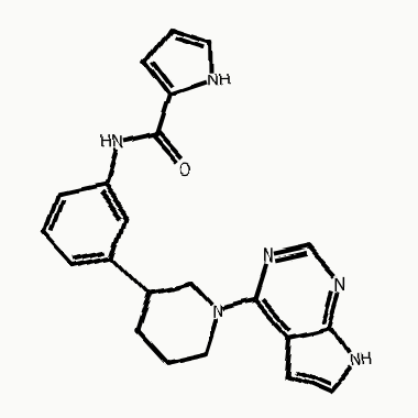 O=C(Nc1cccc(C2CCCN(c3ncnc4[nH]ccc34)C2)c1)c1ccc[nH]1